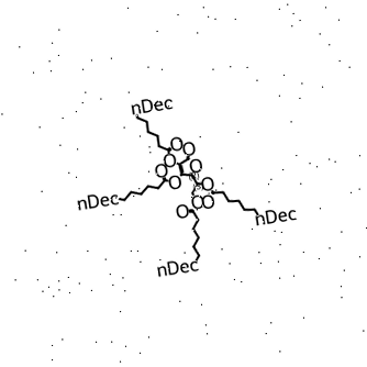 CCCCCCCCCCCCCCCC(=O)OC[C@H](OC(=O)CCCCCCCCCCCCCCC)[C@H]1OC(=O)C(OC(=O)CCCCCCCCCCCCCCC)=C1OC(=O)CCCCCCCCCCCCCCC